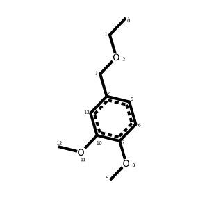 [CH2]COCc1ccc(OC)c(OC)c1